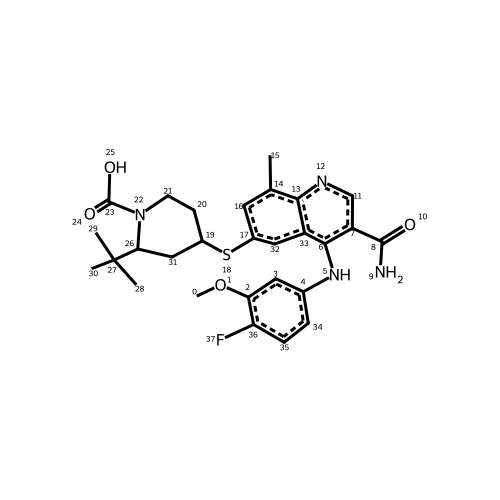 COc1cc(Nc2c(C(N)=O)cnc3c(C)cc(SC4CCN(C(=O)O)C(C(C)(C)C)C4)cc23)ccc1F